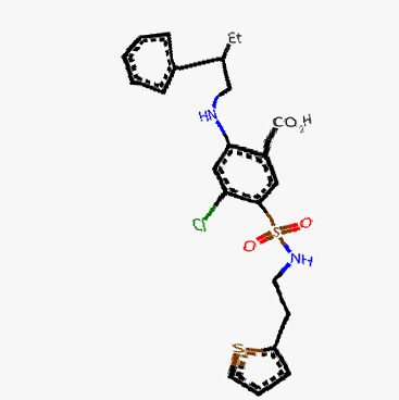 CCC(CNc1cc(Cl)c(S(=O)(=O)NCCc2cccs2)cc1C(=O)O)c1ccccc1